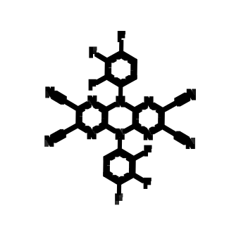 N#Cc1nc2c(nc1C#N)N(c1ccc(F)c(F)c1F)c1nc(C#N)c(C#N)nc1N2c1ccc(F)c(F)c1F